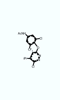 CC(=O)Nc1cc(Cl)c(Oc2cc(C(C)C)c(Cl)nn2)c(C(F)(F)F)c1